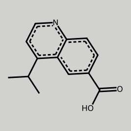 CC(C)c1ccnc2ccc(C(=O)O)cc12